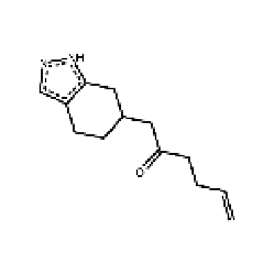 C=CCCC(=O)CC1CCc2cn[nH]c2C1